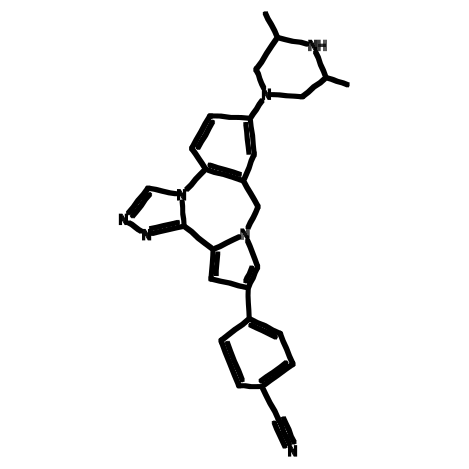 CC1CN(c2ccc3c(c2)Cn2cc(-c4ccc(C#N)cc4)cc2-c2nncn2-3)CC(C)N1